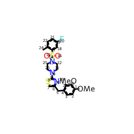 COc1ccc(Cc2csc(N3CCN(S(=O)(=O)c4cc(F)ccc4C)CC3)n2)c(OC)c1